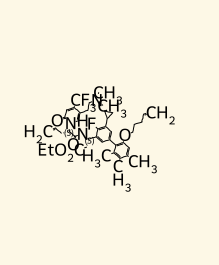 C=CCCCOc1cc(C)c(C)c(C)c1-c1cc(C2CC2)c(F)c([C@H](CC(=O)OCC)NC(=O)[C@H](CC=C)n2cc(CCN(C)C)c(C(F)(F)F)cc2=O)c1